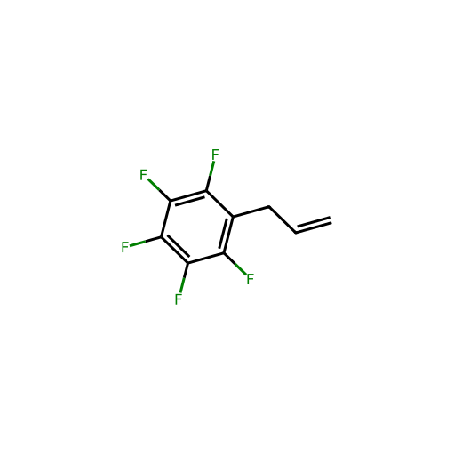 C=CCc1c(F)c(F)c(F)c(F)c1F